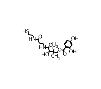 CC(C)(COC(=O)c1ccc(O)cc1O)[C@@H](O)C(=O)NCCC(=O)NCCS